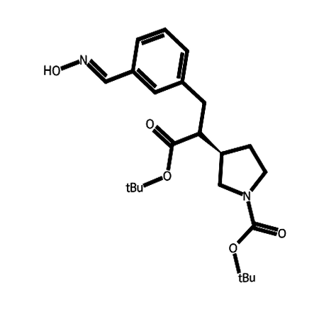 CC(C)(C)OC(=O)C(Cc1cccc(C=NO)c1)[C@H]1CCN(C(=O)OC(C)(C)C)C1